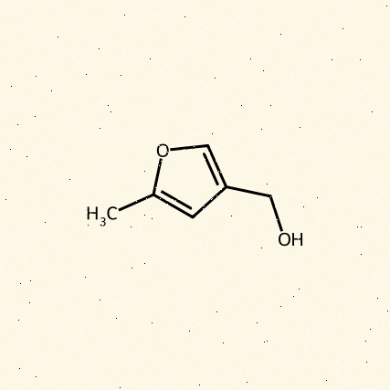 Cc1cc(CO)co1